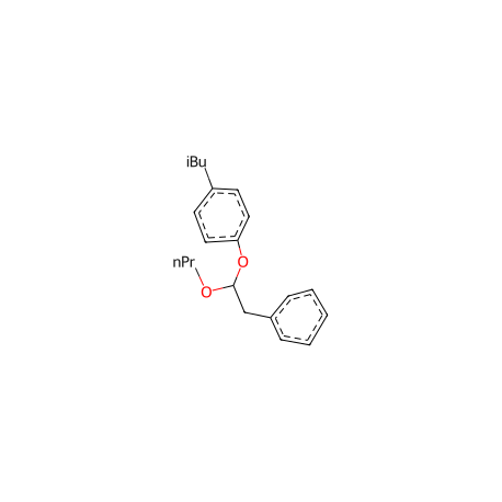 CCCOC(Cc1ccccc1)Oc1ccc(C(C)CC)cc1